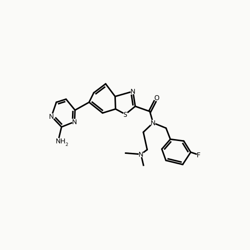 CN(C)CCN(Cc1cccc(F)c1)C(=O)C1=NC2C=CC(c3ccnc(N)n3)=CC2S1